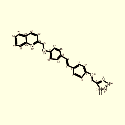 C(=Cc1ccc(OCc2nnn[nH]2)cc1)c1ccc(OCc2ccc3ccccc3n2)cc1